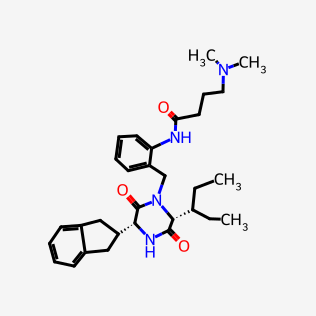 CCC(CC)[C@@H]1C(=O)N[C@H](C2Cc3ccccc3C2)C(=O)N1Cc1ccccc1NC(=O)CCCN(C)C